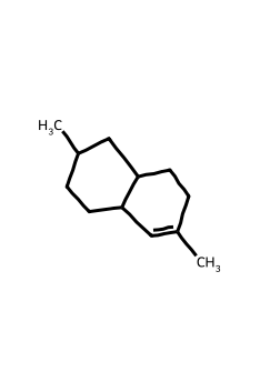 CC1=CC2CCC(C)CC2CC1